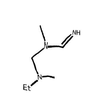 CCN(C)CN(C)C=N